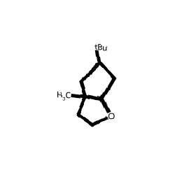 CC(C)(C)C1CC2OCCC2(C)C1